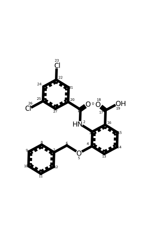 O=C(Nc1c(OCc2ccccc2)cccc1C(=O)O)c1cc(Cl)cc(Cl)c1